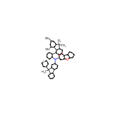 CC(C)(C)c1cc(C(C)(C)C)c2c(c1)C(C)(C)c1cccc(-c3ccccc3N(c3ccc4c(c3)C(C)(c3ccccc3)c3ccccc3-4)c3ccc4c(c3)oc3ccccc34)c1-2